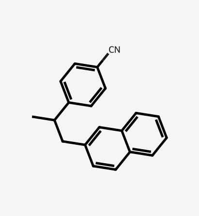 CC(Cc1ccc2ccccc2c1)c1ccc(C#N)cc1